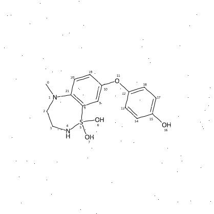 CN1CCNS(O)(O)c2cc(Oc3ccc(O)cc3)ccc21